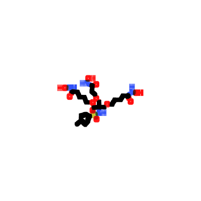 Cc1ccc(S(=O)(=O)NC(COCCCCC(=O)NO)(COCCCCC(=O)NO)COCCC(=O)NO)cc1